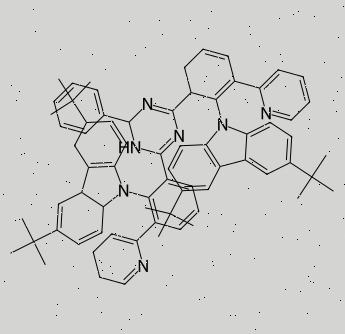 CC(C)(C)C1=CC2C3=C(C=CC(C(C)(C)C)C3)N(c3c(C4=CCCC=N4)cccc3C3=NC(C4CC=CC(c5ccccn5)=C4n4c5ccc(C(C)(C)C)cc5c5cc(C(C)(C)C)ccc54)=NC(c4ccccc4)N3)C2C=C1